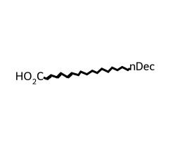 CCCCCCCCCCCCCCCCCCCCCC=CC=CC=CC(=O)O